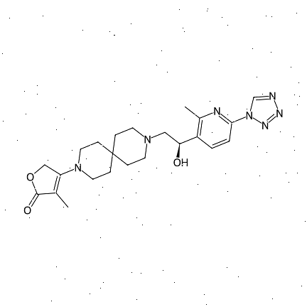 CC1=C(N2CCC3(CCN(C[C@H](O)c4ccc(-n5cnnn5)nc4C)CC3)CC2)COC1=O